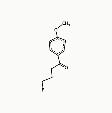 COc1ccc(C(=O)CCCF)cc1